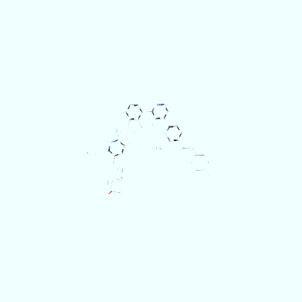 COc1nc(-c2ccnc(-c3cccc4c3CC[C@@H]4Nc3nc(OC)c(CN[C@H]4CCC(=O)N4)cc3C(F)(F)F)c2Cl)ccc1CNC1CCN(C(C)=O)CC1